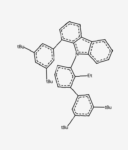 CCc1c(-c2cc(C(C)(C)C)cc(C(C)(C)C)c2)cccc1-n1c2ccccc2c2cccc(-c3cc(C(C)(C)C)cc(C(C)(C)C)c3)c21